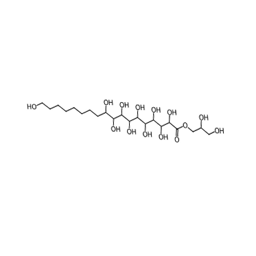 O=C(OCC(O)CO)C(O)C(O)C(O)C(O)C(O)C(O)C(O)C(O)C(O)CCCCCCCCO